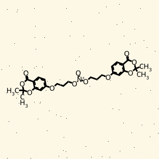 CC1(C)OC(=O)c2ccc(OCCCO[N+](=O)OCCCOc3ccc4c(c3)OC(C)(C)OC4=O)cc2O1